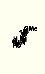 COc1ccc2cc(-c3nc4cc(C(=O)N5C[C@H]6CC7C[C@@H]5[C@H]76)cnc4n3C)n(CC3CC3)c2n1